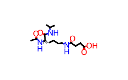 CC(=O)N[C@@H](CCCCNC(=O)CCC(=O)O)C(=O)NC(C)C